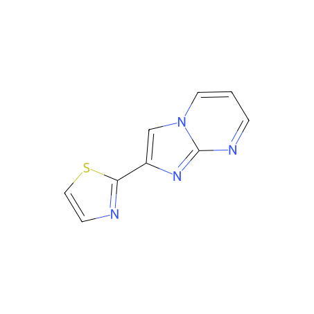 c1cnc2nc(-c3nccs3)cn2c1